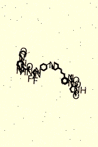 C[C@@H]1CN(c2ccn3ncc(C(=O)Nc4cn([C@H]5CC[C@H](CN6CCC(CCCc7cccc8c7n(C)c(=O)n8C7CCC(=O)NC7=O)CC6)CC5)nc4C(F)F)c3n2)CCO1